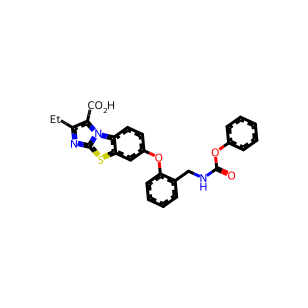 CCc1nc2sc3cc(Oc4ccccc4CNC(=O)Oc4ccccc4)ccc3n2c1C(=O)O